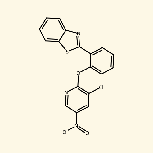 O=[N+]([O-])c1cnc(Oc2ccccc2-c2nc3ccccc3s2)c(Cl)c1